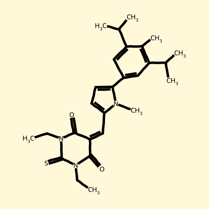 CCN1C(=O)C(=Cc2ccc(-c3cc(C(C)C)c(C)c(C(C)C)c3)n2C)C(=O)N(CC)C1=S